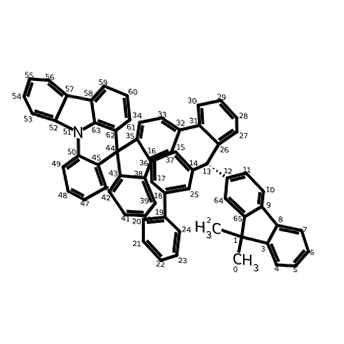 CC1(C)c2ccccc2-c2ccc([C@H](c3cccc(-c4ccccc4)c3)c3ccccc3-c3ccc4c(c3)-c3ccccc3C43c4ccccc4-n4c5ccccc5c5cccc3c54)cc21